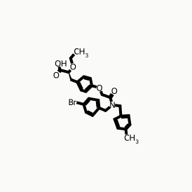 CCO[C@@H](Cc1ccc(OCC(=O)N(Cc2ccc(C)cc2)Cc2ccc(Br)cc2)cc1)C(=O)O